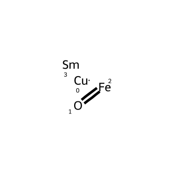 [Cu].[O]=[Fe].[Sm]